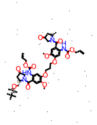 C=CCOC(=O)Nc1cc(OCCCOc2cc(NC(=O)OCC=C)c(C(=O)N3CC(=O)C[C@H]3C)cc2OC)c(OC)cc1C(=O)N1CC(=O)C[C@H]1CO[Si](C)(C)C(C)(C)C